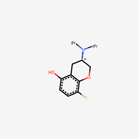 CCCN(C(C)C)[C@H]1COc2c(F)ccc(O)c2C1